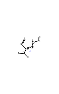 C=CO/N=C(\C=C)C(C)C